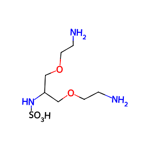 NCCOCC(COCCN)NS(=O)(=O)O